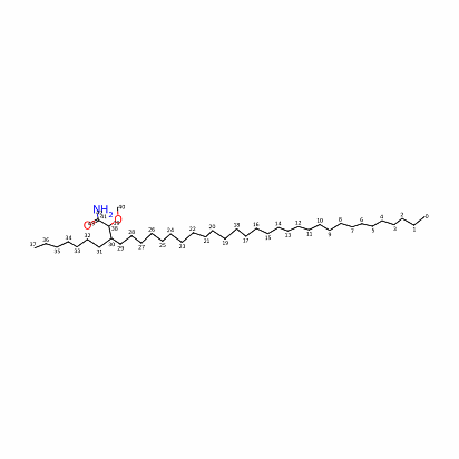 CCCCCCCCCCCCCCCCCCCCCCCCCCCCCCC(CCCCCCC)C(OC)C(N)=O